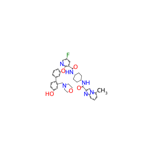 Cc1cccc2nc(C(=O)N[C@H]3CC[C@@H](NC(=O)c4cc(F)cnc4Oc4cccc(-c5ccc(O)cc5CN5CCOCC5)c4)CC3)cn12